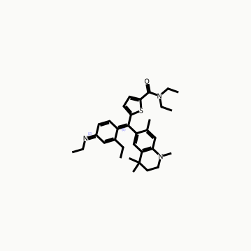 CC/N=C1C=C/C(=C(\c2ccc(C(=O)N(CC)CC)s2)c2cc3c(cc2C)N(C)CCC3(C)C)C(CC)=C/1